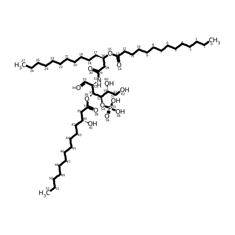 CCCCCCCCCCCCCC(=O)O[C@H](CCCCCCCCCCC)CC(=O)N[C@@H](C=O)[C@@H](OC(=O)C[C@H](O)CCCCCCCCCCC)[C@H](OP(=O)(O)O)[C@H](O)CO